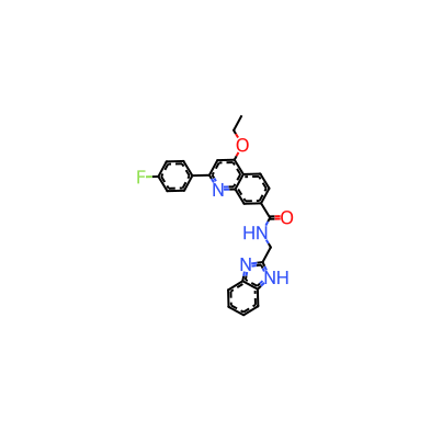 CCOc1cc(-c2ccc(F)cc2)nc2cc(C(=O)NCc3nc4ccccc4[nH]3)ccc12